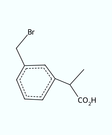 CC(C(=O)O)c1cccc(CBr)c1